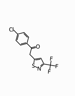 O=C(Cc1cc(C(F)(F)F)ns1)c1ccc(Cl)cc1